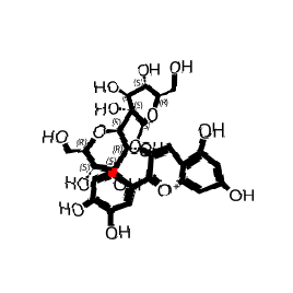 OC[C@H]1O[C@@H](Oc2cc3c(O)cc(O)cc3[o+]c2-c2ccc(O)c(O)c2)[C@@](O)([C@@H]2O[C@H](CO)[C@@H](O)[C@H](O)[C@H]2O)[C@@H](O)[C@@H]1O